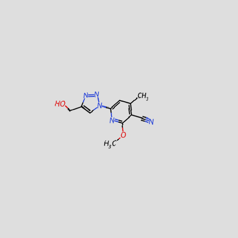 COc1nc(-n2cc(CO)nn2)cc(C)c1C#N